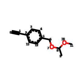 C#Cc1ccc(COC(C)OC)cc1